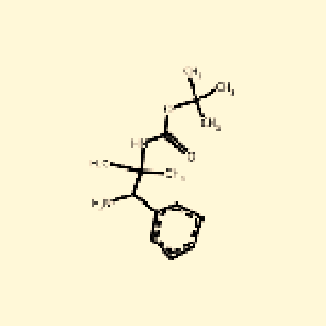 CC(C)(C)OC(=O)NC(C)(C)C(N)c1ccccc1